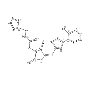 O=C(CN1C(=O)C(=Cc2ccc(-c3ccccc3Cl)o2)SC1=S)NCc1cccs1